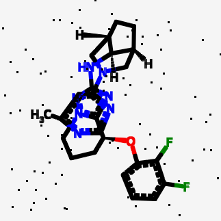 Cc1cc(N2C[C@H]3CC[C@@H](C2)[C@@H]3Nc2nc3n(n2)CCC[C@@H]3Oc2cccc(F)c2F)ncn1